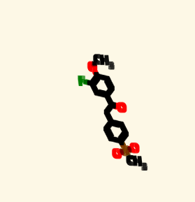 COc1ccc(C(=O)Cc2ccc(S(C)(=O)=O)cc2)cc1F